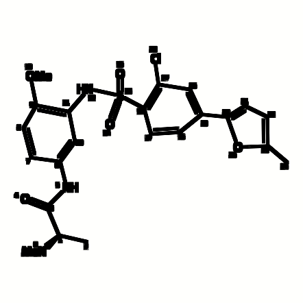 CN[C@H](C)C(=O)Nc1ccc(OC)c(NS(=O)(=O)c2ccc(-c3ccc(C)o3)cc2Cl)c1